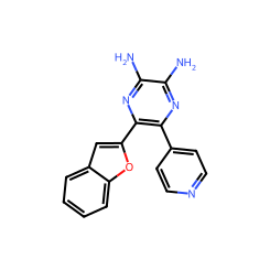 Nc1nc(-c2ccncc2)c(-c2cc3ccccc3o2)nc1N